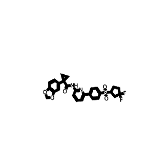 O=C(Nc1cccc(-c2ccc(S(=O)(=O)C3CCC(F)(F)C3)cc2)n1)C1(c2ccc3c(c2)OCO3)CC1